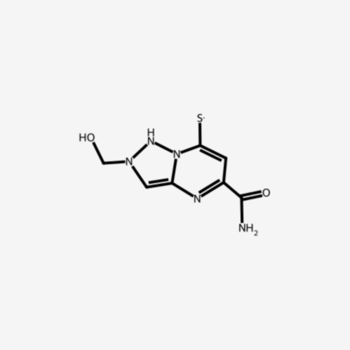 NC(=O)C1=NC2=CN(CO)NN2C([S])=C1